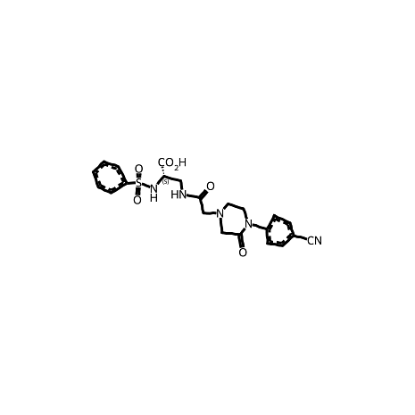 N#Cc1ccc(N2CCN(CC(=O)NC[C@H](NS(=O)(=O)c3ccccc3)C(=O)O)CC2=O)cc1